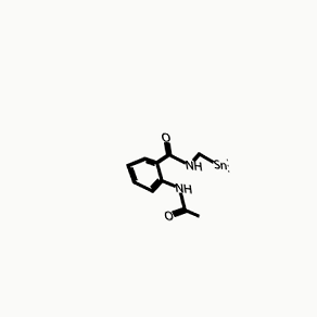 CC(=O)Nc1ccccc1C(=O)N[CH2][Sn]